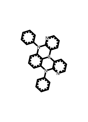 c1ccc(N2c3cccc4c3B(c3cccnc32)c2cccnc2N4c2ccccc2)cc1